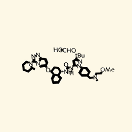 COCCN(C)Cc1ccc(-n2nc(C(C)(C)C)cc2NC(=O)N[C@H]2CC[C@@H](Oc3ccc4nnc(N5CCCCC5C)n4c3)c3ccccc32)cc1.O=CO